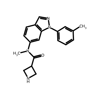 Cc1cccc(-n2ncc3ccc(N(C)C(=O)C4CNC4)cc32)c1